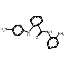 Nc1ccccc1NC(=O)c1ccccc1Nc1ccc([N+](=O)[O-])cc1